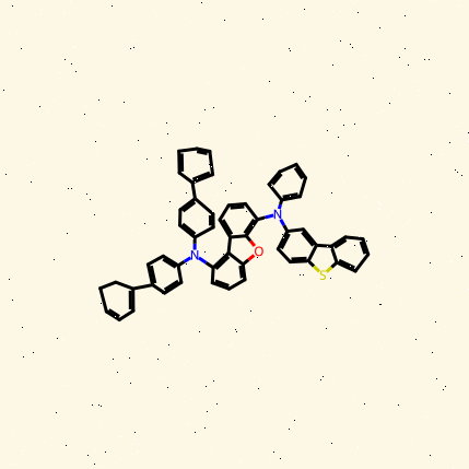 C1=CCCC(c2ccc(N(c3ccc(-c4ccccc4)cc3)c3cccc4oc5c(N(c6ccccc6)c6ccc7sc8ccccc8c7c6)cccc5c34)cc2)=C1